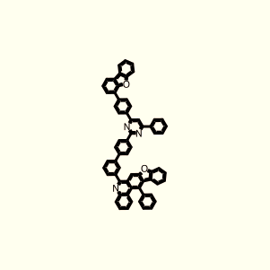 c1ccc(-c2cc(-c3ccc(-c4cccc5c4oc4ccccc45)cc3)nc(-c3ccc(-c4cccc(-c5nc6ccccc6c6c(-c7ccccc7)c7c(cc56)oc5ccccc57)c4)cc3)n2)cc1